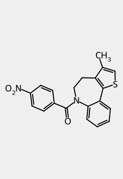 Cc1csc2c1CCN(C(=O)c1ccc([N+](=O)[O-])cc1)c1ccccc1-2